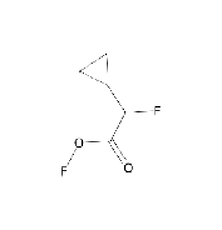 O=C(OF)C(F)C1CC1